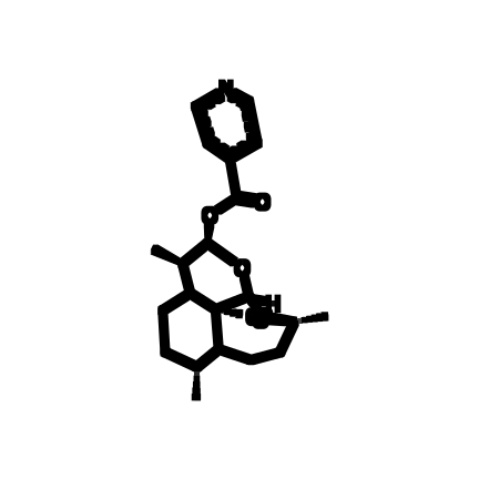 C[C@@H]1CCC2[C@@H](C)[C@@H](OC(=O)c3ccncc3)O[C@@H]3O[C@]4(C)CCC1[C@@]23OO4